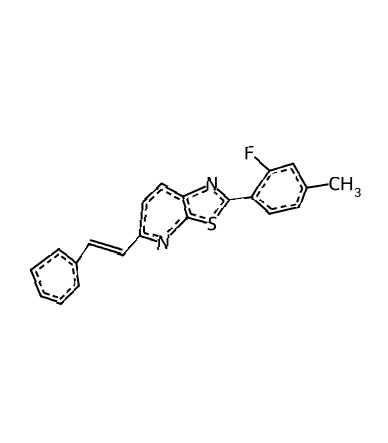 Cc1ccc(-c2nc3ccc(C=Cc4ccccc4)nc3s2)c(F)c1